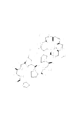 CC(C)C[C@H](NC(=O)[C@@H]1CCCN1C(=O)[C@@H](NC(=O)[C@@H]1CCCN1C(=O)[C@H](CCC(=O)O)NC(=O)[C@H](C)NC(=O)[C@H](C)NC(=O)[C@@H]1CCCN1)C(C)C)C(=O)N[C@@H](C)C(=O)N[C@@H](C)C(=O)N[C@H](C(=O)N[C@@H](CC(=O)O)C(=O)O)C(C)C